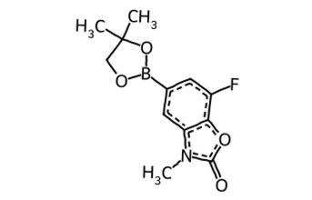 Cn1c(=O)oc2c(F)cc(B3OCC(C)(C)O3)cc21